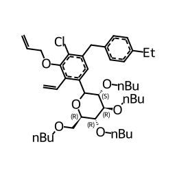 C=CCOc1c(Cl)c(Cc2ccc(CC)cc2)cc(C2O[C@H](COCCCC)[C@@H](OCCCC)[C@H](OCCCC)[C@H]2OCCCC)c1C=C